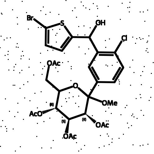 COC1(c2ccc(Cl)c(C(O)c3ccc(Br)s3)c2)OC(COC(C)=O)[C@@H](OC(C)=O)[C@H](OC(C)=O)[C@H]1OC(C)=O